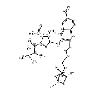 COc1ccc2nc(CCCCC[C@H]3C[C@H]4C[C@@H]3C4)c(OC3CN(C(=O)C(N)C(C)(C)C)[C@H](C(C)=O)[C@@H]3C)nc2c1